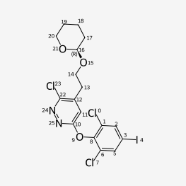 Clc1cc(I)cc(Cl)c1Oc1cc(CCO[C@@H]2CCCCO2)c(Cl)nn1